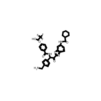 NCc1ccc(C(NC(=O)c2ccccc2)C(=O)c2nc3ccc(NC(=O)C4CCCCC4)cc3s2)cc1.O=C(O)C(F)(F)F